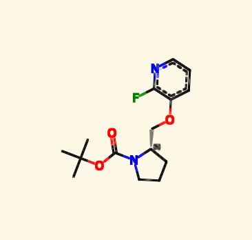 CC(C)(C)OC(=O)N1CCC[C@H]1COc1cccnc1F